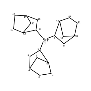 C1CC2CC1C[CH]2[Sn]([CH]1CC2CCC1C2)[CH]1CC2CCC1C2